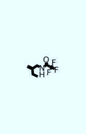 C=C(CC)CNC(=O)C(F)(F)F